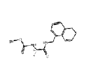 C[C@H](NC(=O)OC(C)(C)C)C(=O)NCc1cccc2c1C=CCC2